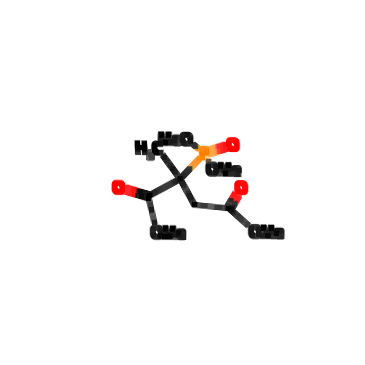 COC(=O)CC(C)(C(=O)OC)P(=O)(OC)OC